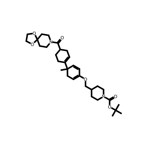 CC(C)(C)OC(=O)N1CCC(COC2=CCC(C)(C3=CCC(C(=O)N4CCC5(CC4)OCCO5)CC3)C=C2)CC1